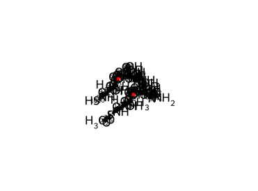 CC(=O)CC(=O)SCCNC(=O)CCNC(=O)[C@H](O)C(C)(C)COP(=O)(O)OP(=O)(O)OC[C@H]1O[C@@H](n2cnc3c(N)ncnc32)[C@H](O)[C@@H]1OP(=O)(O)O.CC(C)(COP(=O)(O)OP(=O)(O)OC[C@H]1O[C@@H](n2cnc3c(N)ncnc32)[C@H](O)[C@@H]1OP(=O)(O)O)[C@@H](O)C(=O)NCCC(=O)NCCS